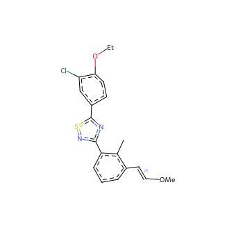 CCOc1ccc(-c2nc(-c3cccc(/C=C/OC)c3C)ns2)cc1Cl